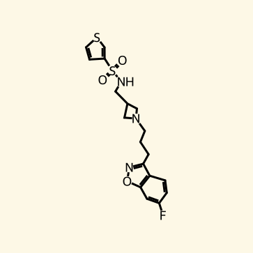 O=S(=O)(NCC1CN(CCCc2noc3cc(F)ccc23)C1)c1ccsc1